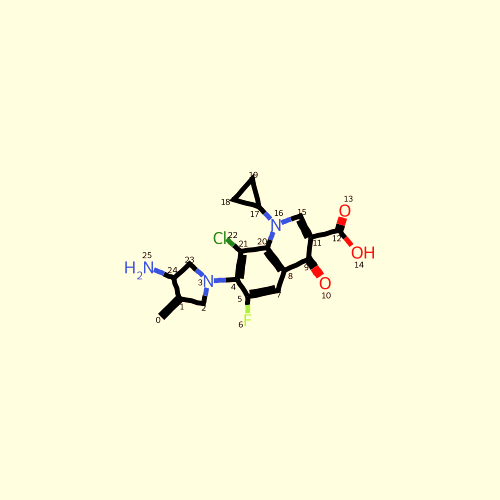 C=C1CN(c2c(F)cc3c(=O)c(C(=O)O)cn(C4CC4)c3c2Cl)CC1N